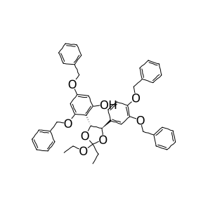 CCOC1(CC)O[C@H](c2ccc(OCc3ccccc3)c(OCc3ccccc3)c2)[C@@H](c2c(O)cc(OCc3ccccc3)cc2OCc2ccccc2)O1